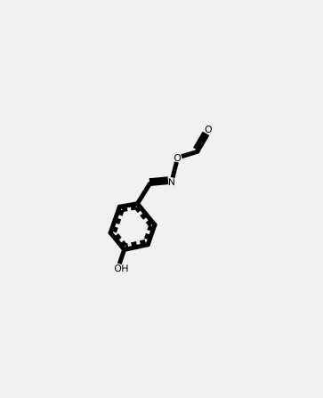 O=CO/N=C/c1ccc(O)cc1